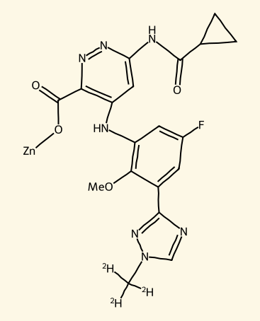 [2H]C([2H])([2H])n1cnc(-c2cc(F)cc(Nc3cc(NC(=O)C4CC4)nnc3C(=O)[O][Zn])c2OC)n1